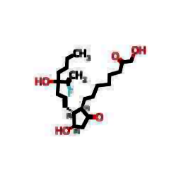 C=C(F)C(O)(CC=C[C@H]1[C@H](O)CC(=O)[C@@H]1CCCCCCC(=O)CO)CCCC